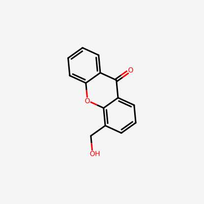 O=c1c2ccccc2oc2c(CO)cccc12